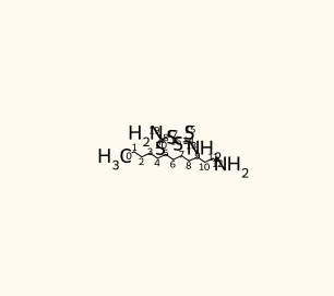 CCCCCCCCCCCCN.NC(=S)SSC(N)=S